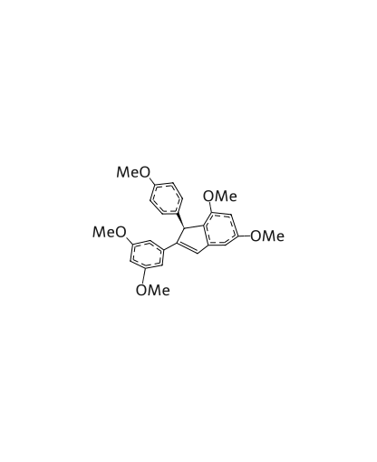 COc1ccc([C@@H]2C(c3cc(OC)cc(OC)c3)=Cc3cc(OC)cc(OC)c32)cc1